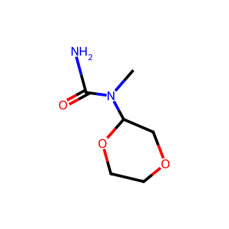 CN(C(N)=O)C1COCCO1